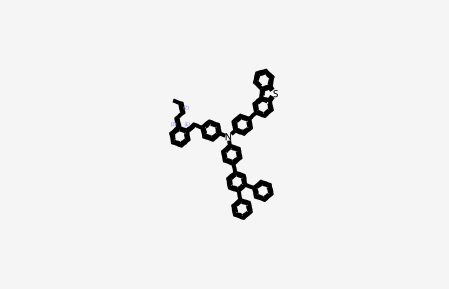 C\C=C/C=c1/cccc/c1=C\c1ccc(N(c2ccc(-c3ccc(-c4ccccc4)c(-c4ccccc4)c3)cc2)c2ccc(-c3ccc4sc5ccccc5c4c3)cc2)cc1